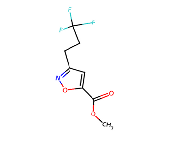 COC(=O)c1cc(CCC(F)(F)F)no1